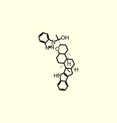 CC(O)([C@@H]1CC[C@]2(C)C(CC[C@@]3(C)[C@H]2CC[C@H]2Cc4c([nH]c5ccccc45)[C@@]23C)O1)n1nnc2ccccc21